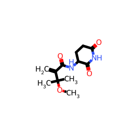 C=C(C(=O)NC1CCC(=O)NC1=O)C(C)(C)OC